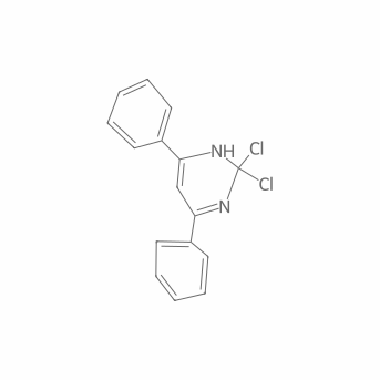 ClC1(Cl)N=C(c2ccccc2)C=C(c2ccccc2)N1